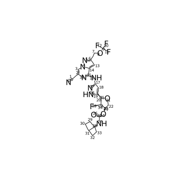 N#Cc1cn2nc(COC(F)(F)F)cc2c(Nc2cc([C@H]3OC[C@@H](OC(=O)NC45CCC4CC5)[C@H]3F)[nH]n2)n1